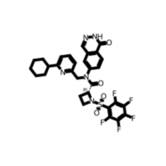 O=C([C@H]1CCN1S(=O)(=O)c1c(F)c(F)c(F)c(F)c1F)N(Cc1cccc(C2CCCCC2)n1)c1ccc2c(=O)[nH]ncc2c1